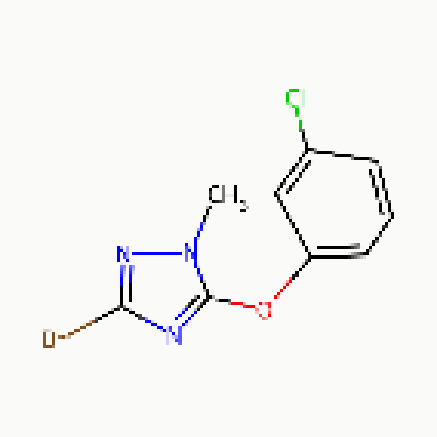 Cn1nc(Br)nc1Oc1cccc(Cl)c1